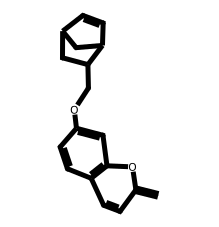 C=C1C=Cc2ccc(OCC3CC4C=CC3C4)cc2O1